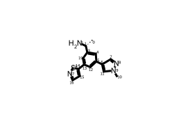 C[C@@H](N)c1cc(-c2cnn(C)c2)cc(-c2ccns2)c1